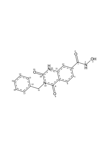 O=C(NO)c1ccc2c(=O)n(Cc3ccccc3)c(=O)[nH]c2c1